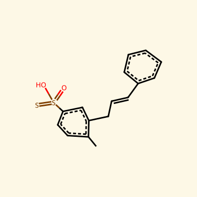 Cc1ccc(S(=O)(O)=S)cc1CC=Cc1ccccc1